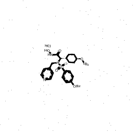 CCCCO[C@H]1CC[C@H](C(C(=O)NO)N(Cc2ccncc2)S(=O)(=O)c2ccc(OC)cc2)CC1.Cl